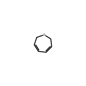 [CH]1C=CC=CCO1